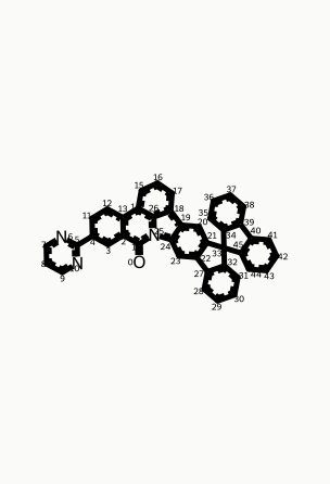 O=c1c2cc(-c3ncccn3)ccc2c2cccc3c4cc5c(cc4n1c23)-c1ccccc1C51c2ccccc2-c2ccccc21